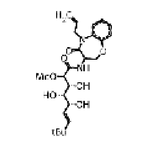 C=CCN1C(=O)C(NC(=O)[C@H](OC)[C@H](O)[C@@H](O)[C@H](O)/C=C/C(C)(C)C)COc2ccccc21